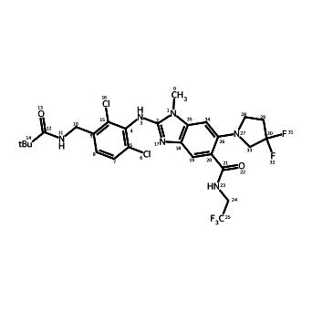 Cn1c(Nc2c(Cl)ccc(CNC(=O)C(C)(C)C)c2Cl)nc2cc(C(=O)NCC(F)(F)F)c(N3CCC(F)(F)C3)cc21